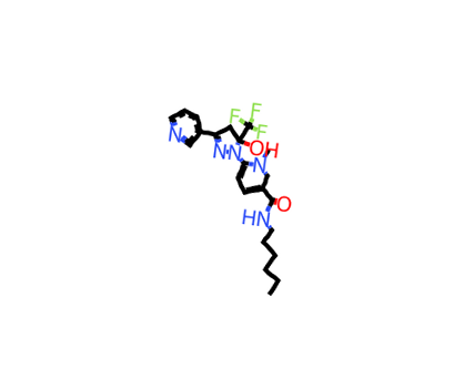 CCCCCCNC(=O)C1=CC=C(N2N=C(c3cccnc3)CC2(O)C(F)(F)F)N(C)C1